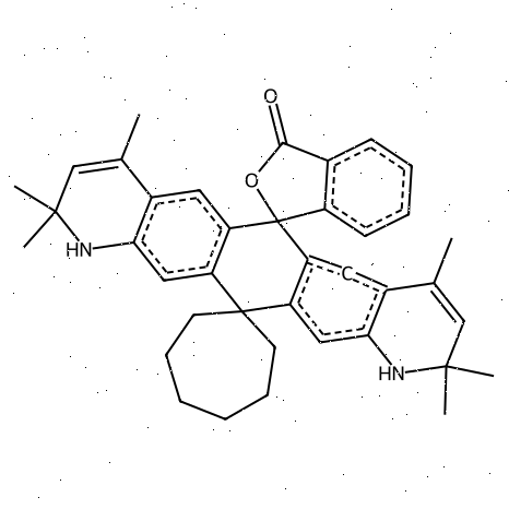 CC1=CC(C)(C)Nc2cc3c(cc21)C1(OC(=O)c2ccccc21)c1cc2c(cc1C31CCCCCC1)NC(C)(C)C=C2C